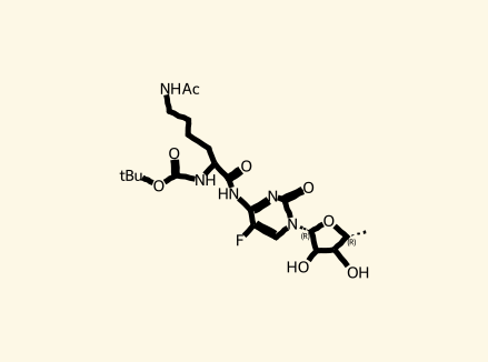 CC(=O)NCCCCC(NC(=O)OC(C)(C)C)C(=O)Nc1nc(=O)n([C@@H]2O[C@H](C)C(O)C2O)cc1F